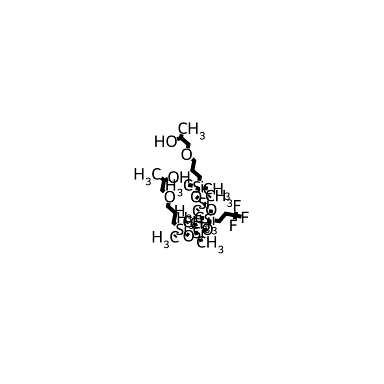 CC(O)COCCC[Si](C)(C)O[Si](C)(C)O[Si](C)(CCC(F)(F)F)O[Si](C)(C)O[Si](C)(C)CCCOCC(C)O